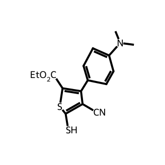 CCOC(=O)c1sc(S)c(C#N)c1-c1ccc(N(C)C)cc1